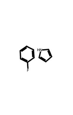 Fc1ccccc1.c1cc[nH]c1